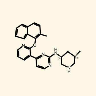 Cc1ccc2ccccc2c1Oc1ncccc1-c1ccnc(N[C@@H]2CNC[C@H](C)C2)n1